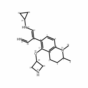 CC1CCc2c(ccc(/C(C=N)=C/NC3CC3)c2OC2CNC2)N1C